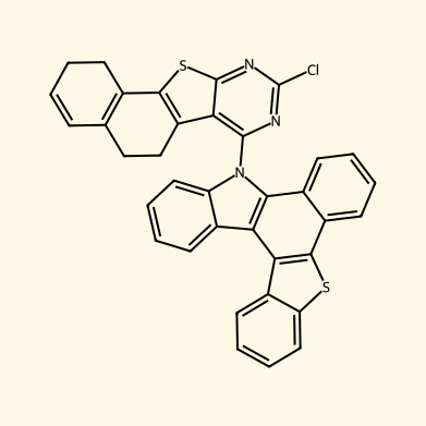 Clc1nc(-n2c3ccccc3c3c4c5ccccc5sc4c4ccccc4c32)c2c3c(sc2n1)C1=C(C=CCC1)CC3